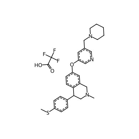 CSc1ccc(C2CN(C)Cc3cc(Oc4cncc(CN5CCCCC5)c4)ccc32)cc1.O=C(O)C(F)(F)F